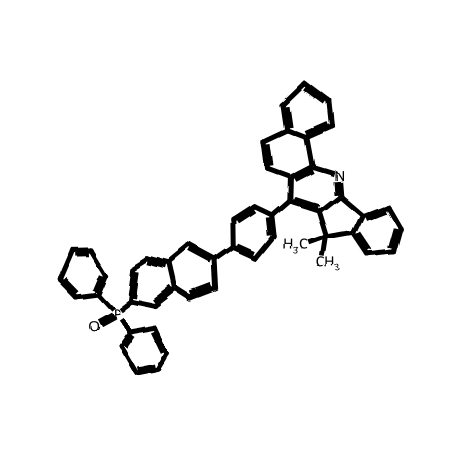 CC1(C)c2ccccc2-c2nc3c(ccc4ccccc43)c(-c3ccc(-c4ccc5cc(P(=O)(c6ccccc6)c6ccccc6)ccc5c4)cc3)c21